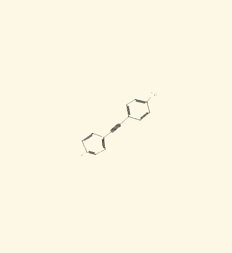 Nc1ccc(C#Cc2ccc(O)cc2)cc1